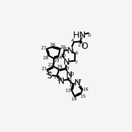 CNC(=O)CN1CCN(c2nc(-c3ccccn3)nc3scc(-c4ccccc4)c23)CC1